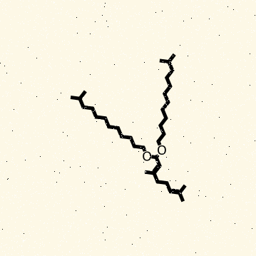 CC(C)=CCCC(C)=CC(OCCCCCCCCCCC(C)C)OCCCCCCCCCCC(C)C